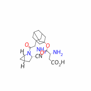 N#C[C@@H]1C[C@@H]2C[C@@H]2N1C(=O)[C@@H](N)C12CC3CC(CC(OC(=O)[C@H](N)CC(=O)O)(C3)C1)C2